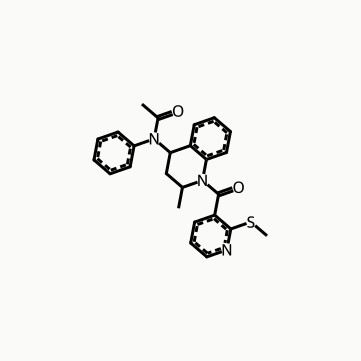 CSc1ncccc1C(=O)N1c2ccccc2C(N(C(C)=O)c2ccccc2)CC1C